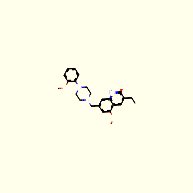 CCc1cc2c(OC)cc(CN3CCN(c4ccccc4OC)CC3)cc2[nH]c1=O